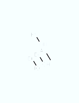 CC(C)=O.CCO.CCO.CCO